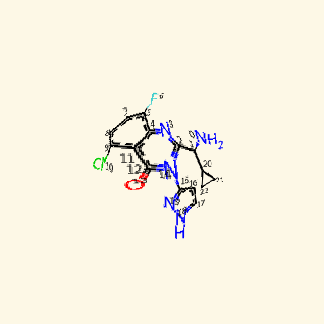 N[C@H](c1nc2c(F)ccc(Cl)c2c(=O)n1-c1cc[nH]n1)C1CC1